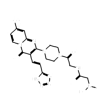 CN(C)CC(=O)NCC(=O)N1CCN(c2nc3cc(C(=O)O)ccn3c(=O)c2/C=C/c2nnn[nH]2)CC1